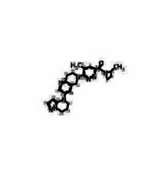 Cc1cc(C(=O)N2CCC2C)nnc1N1CCc2ncc(N3CCCn4nccc43)cc2C1